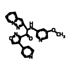 COc1cncc(NC(C(=O)c2nocc2-c2ccncc2)c2cc3ccccn3n2)c1